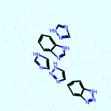 c1c[nH]cn1.c1c[nH]nn1.c1ccc2[nH]cnc2c1.c1ccc2[nH]nnc2c1.c1nc[nH]n1